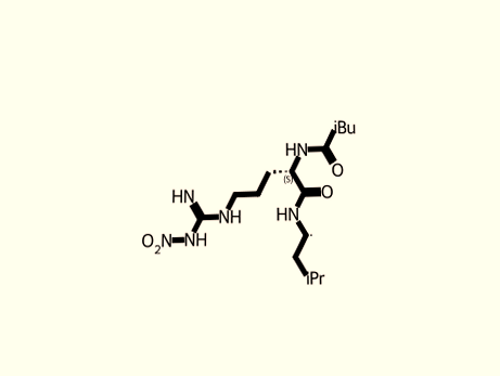 CCC(C)C(=O)N[C@@H](CCCNC(=N)N[N+](=O)[O-])C(=O)N[CH]CC(C)C